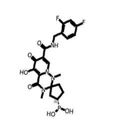 CN1C(=O)c2c(O)c(=O)c(C(=O)NCc3ccc(F)cc3F)cn2N(C)C12CC[C@H](P(O)O)C2